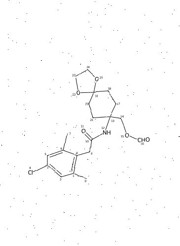 Cc1cc(Cl)cc(C)c1CC(=O)NC1(COC=O)CCC2(CC1)OCCO2